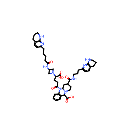 O=C(CCC(C(=O)O)N1CC(NC(=O)CCCCc2ccc3c(n2)NCCC3)C1)Nc1ccccc1C(C(=O)O)N1CCC(C(=O)NCCCc2ccc3c(n2)NCCC3)CC1